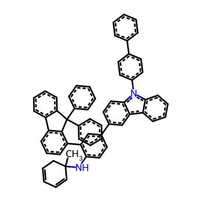 CC1(Nc2ccc(-c3ccc4c(c3)c3ccccc3n4-c3ccc(-c4ccccc4)cc3)cc2-c2cccc3c2C(c2ccccc2)(c2ccccc2)c2ccccc2-3)C=CC=CC1